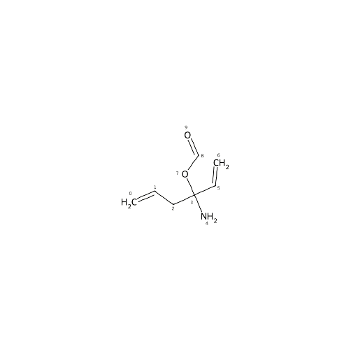 C=CCC(N)(C=C)OC=O